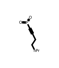 CCCCCC#CP(=O)=O